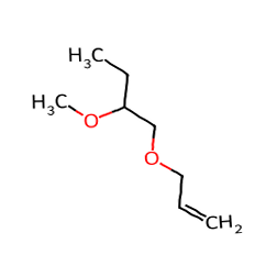 C=CCOCC(CC)OC